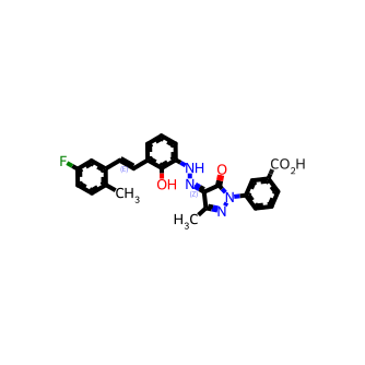 CC1=NN(c2cccc(C(=O)O)c2)C(=O)/C1=N\Nc1cccc(/C=C/c2cc(F)ccc2C)c1O